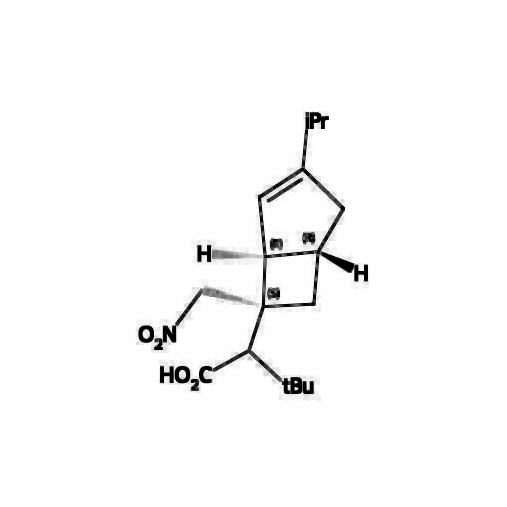 CC(C)C1=C[C@H]2[C@H](C1)C[C@@]2(C[N+](=O)[O-])C(C(=O)O)C(C)(C)C